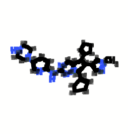 Cn1cc(-c2c(C3=CCCC3)c3cnc(Nc4ccc(N5CCNCC5)cn4)nn3c2C2=CCCC2)cn1